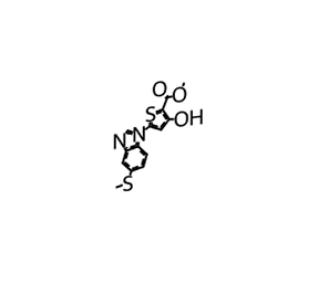 COC(=O)c1sc(-n2cnc3cc(SC)ccc32)cc1O